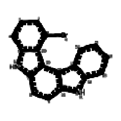 Brc1cccc2[nH]c3ccc4[nH]c5ccccc5c4c3c12